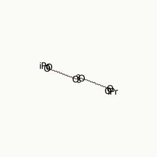 CC(C)OC(=O)CCCCCCCCCCCCCCCCCCCCOc1c2ccccc2c(OCCCCCCCCCCCCCCCCCCCCC(=O)OC(C)C)c2ccccc12